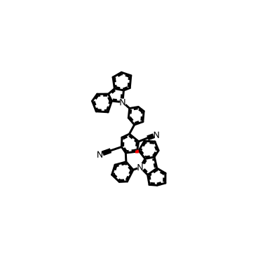 N#Cc1cc(-c2ccccc2-n2c3ccccc3c3ccccc32)c(C#N)cc1-c1cccc(-n2c3ccccc3c3ccccc32)c1